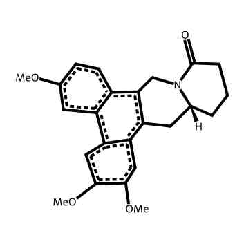 COc1ccc2c3c(c4cc(OC)c(OC)cc4c2c1)C[C@H]1CCCC(=O)N1C3